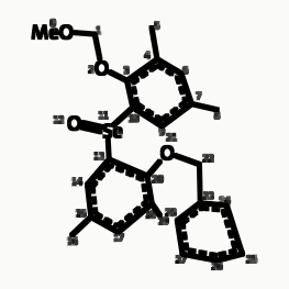 COCOc1c(C)cc(C)cc1[Se](=O)c1cc(C)cc(C)c1OCc1ccccc1